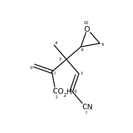 C=C(C(=O)O)C(C)(C=CC#N)C1CO1